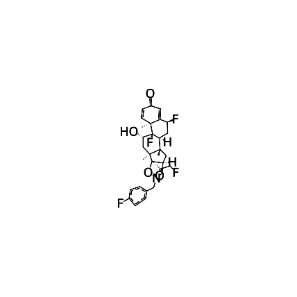 C[C@]12C[C@H](O)[C@@]3(F)[C@@H](C[C@H](F)C4=CC(=O)C=C[C@@]43C)[C@]1(C)C[C@H]1CN(Cc3ccc(F)cc3)O[C@]12C(=O)CF